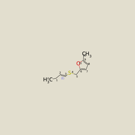 CC/C=C/SCc1ccc(C)o1